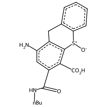 CCCCNC(=O)c1cc(N)c2c(c1C(=O)O)[S+]([O-])c1ccccc1C2